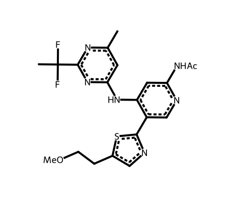 COCCc1cnc(-c2cnc(NC(C)=O)cc2Nc2cc(C)nc(C(C)(F)F)n2)s1